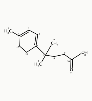 CC1=CC=C(C(C)(C)CCC(=O)O)CC1